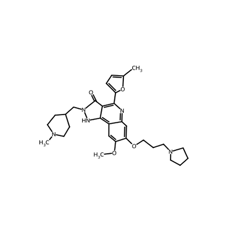 COc1cc2c(cc1OCCCN1CCCC1)nc(-c1ccc(C)o1)c1c(=O)n(CC3CCN(C)CC3)[nH]c12